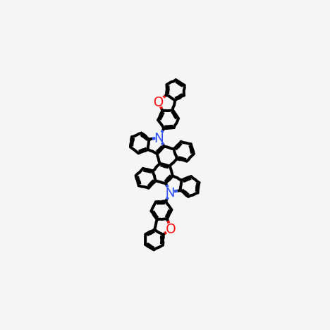 c1ccc2c(c1)oc1cc(-n3c4ccccc4c4c5c6ccccc6c6c(c7ccccc7n6-c6ccc7c(c6)oc6ccccc67)c5c5ccccc5c43)ccc12